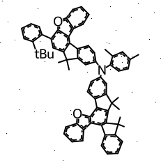 Cc1ccc(N(c2ccc3c(c2)C(C)(C)c2cc(-c4ccccc4C(C)(C)C)c4oc5ccccc5c4c2-3)c2ccc3c(c2)C(C)(C)c2c4c(c5c(oc6ccccc65)c2-3)-c2ccccc2C4(C)C)c(C)c1